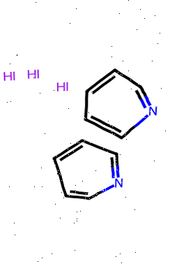 I.I.I.c1ccncc1.c1ccncc1